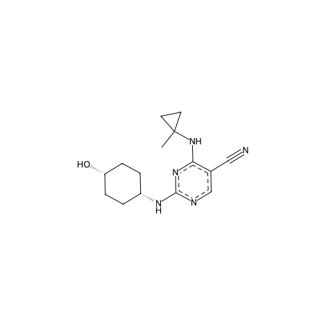 CC1(Nc2nc(N[C@H]3CC[C@@H](O)CC3)ncc2C#N)CC1